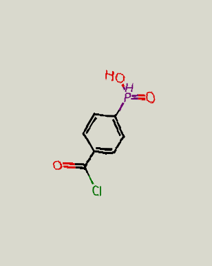 O=C(Cl)c1ccc([PH](=O)O)cc1